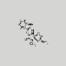 COC(=O)C(Cc1c[nH]c2ccccc12)Nc1ccc(N)cc1